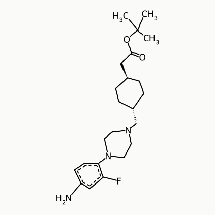 CC(C)(C)OC(=O)C[C@H]1CC[C@H](CN2CCN(c3ccc(N)cc3F)CC2)CC1